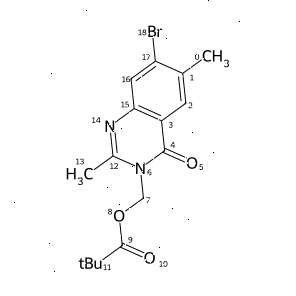 Cc1cc2c(=O)n(COC(=O)C(C)(C)C)c(C)nc2cc1Br